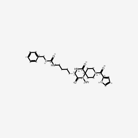 CCCN1C(=O)[C@H](CCCCNC(=O)OCc2ccccc2)NC(=O)C12CCN(C(=O)c1ccco1)CC2